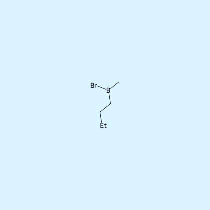 CCCCB(C)Br